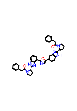 O=C(Cc1ccccc1)N1CCC[C@H]1c1nc2cc(-c3cnc(-c4cccc5[nH]c([C@@H]6CCCN6C(=O)Cc6ccccc6)nc45)o3)ccc2[nH]1